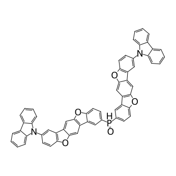 O=[PH](c1ccc2oc3cc4c(cc3c2c1)oc1ccc(-n2c3ccccc3c3ccccc32)cc14)c1ccc2oc3cc4c(cc3c2c1)oc1ccc(-n2c3ccccc3c3ccccc32)cc14